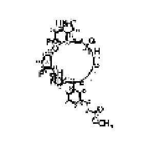 COC(=O)CCc1cccc(C2CCCCCNC(=O)/C=C/c3c(c(F)cc4[nH]ccc34)Oc3ccc(F)c(c3)-c3ncc2[nH]3)c1